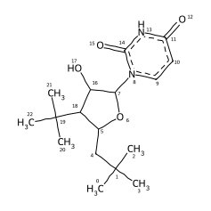 CC(C)(C)CC1OC(n2ccc(=O)[nH]c2=O)C(O)C1C(C)(C)C